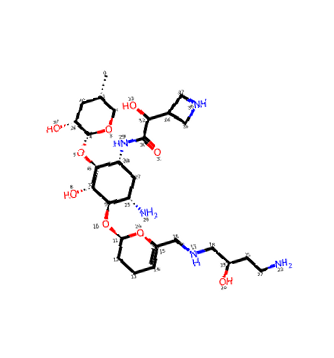 C[C@@H]1CO[C@H](O[C@@H]2[C@@H](O)[C@H](O[C@@H]3CCC=C(CNCC(O)CCN)O3)[C@@H](N)C[C@H]2NC(=O)C(O)C2CNC2)[C@H](O)C1